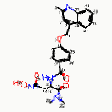 Cc1cc(COc2ccc(C(=O)N[C@H](CC(=O)NO)C(=O)N(C)C)cc2)c2ccccc2n1